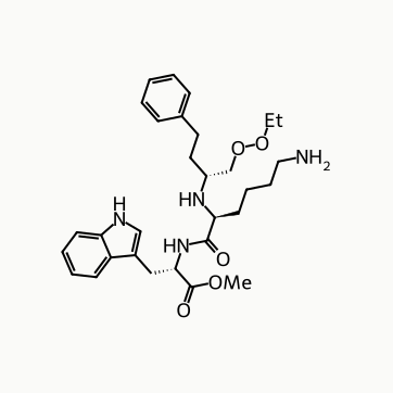 CCOOC[C@@H](CCc1ccccc1)N[C@@H](CCCCN)C(=O)N[C@@H](Cc1c[nH]c2ccccc12)C(=O)OC